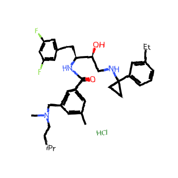 CCc1cccc(C2(NC[C@H](O)[C@H](Cc3cc(F)cc(F)c3)NC(=O)c3cc(C)cc(CN(C)CCC(C)C)c3)CC2)c1.Cl